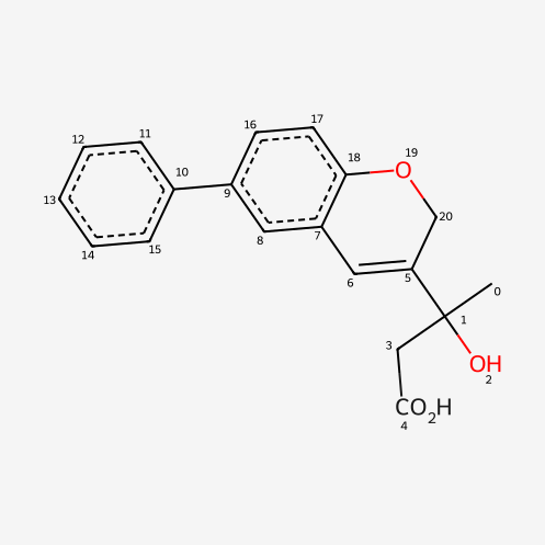 CC(O)(CC(=O)O)C1=Cc2cc(-c3ccccc3)ccc2OC1